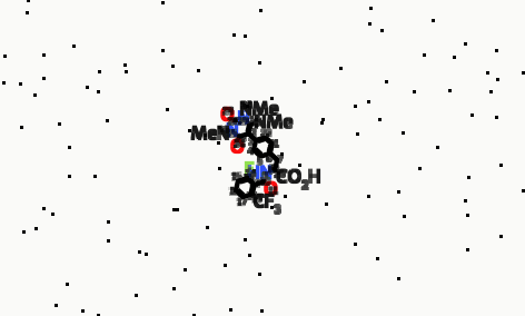 CNc1c(-c2ccc(C[C@H](NC(=O)c3c(F)cccc3C(F)(F)F)C(=O)O)cc2)c(=O)n(NC)c(=O)n1NC